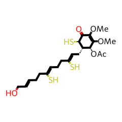 COC1=C(OC)[C@H](OC(C)=O)[C@H](C/C=C(\S)CC/C=C(\S)CC/C=C/CO)[C@@H](S)C1=O